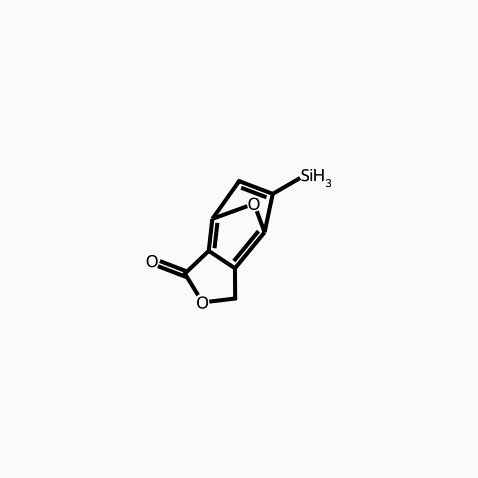 O=C1OCc2c1c1cc([SiH3])c2o1